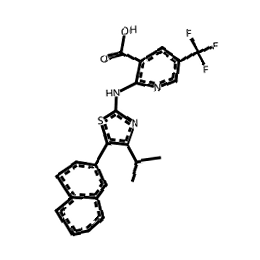 CC(C)c1nc(Nc2ncc(C(F)(F)F)cc2C(=O)O)sc1-c1ccc2ccccc2c1